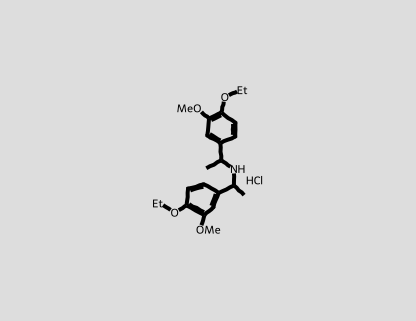 CCOc1ccc(C(C)NC(C)c2ccc(OCC)c(OC)c2)cc1OC.Cl